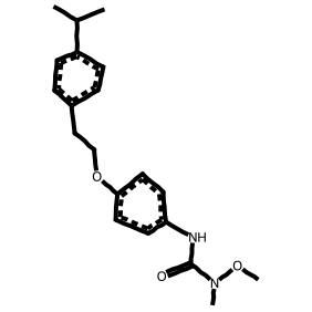 CON(C)C(=O)Nc1ccc(OCCc2ccc(C(C)C)cc2)cc1